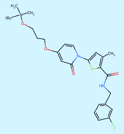 Cc1cc(-n2ccc(OCCCO[Si](C)(C)C(C)(C)C)cc2=O)sc1C(=O)NCc1cccc(F)c1